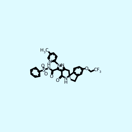 Cc1ccc(-n2nc3c(c2C(=O)NS(=O)(=O)c2ccccc2)C(=O)N[C@@]2(CCc4cc(OCC(F)(F)F)ccc42)C3)nc1